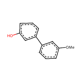 COc1cc[c]c(-c2cccc(O)c2)c1